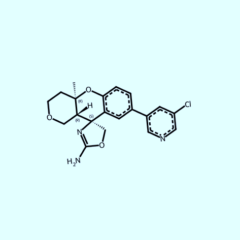 C[C@@]12CCOC[C@H]1[C@@]1(COC(N)=N1)c1cc(-c3cncc(Cl)c3)ccc1O2